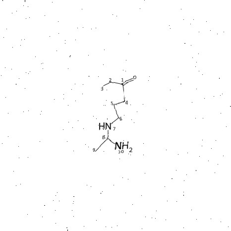 C=C(CC)CCCNC(C)N